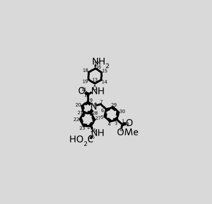 COC(=O)c1ccc(Cn2c(C(=O)N[C@H]3CC[C@H](N)CC3)cc3ccc(NC(=O)O)cc32)cc1